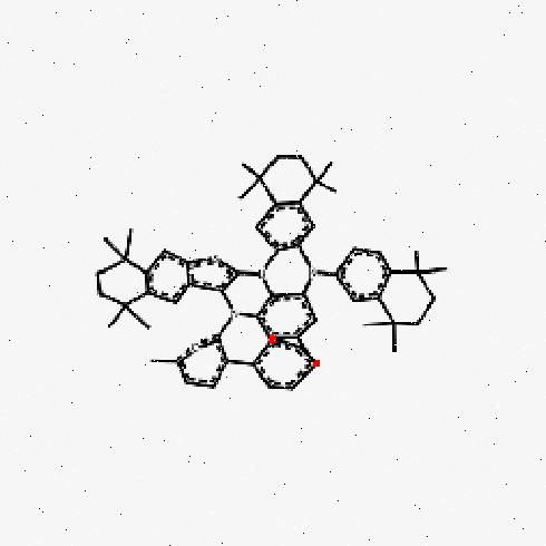 Cc1ccc(-c2ccccc2)c(N2c3cc(C)cc4c3B(c3cc5c(cc3N4c3ccc4c(c3)C(C)(C)CCC4(C)C)C(C)(C)CCC5(C)C)c3sc4cc5c(cc4c32)C(C)(C)CCC5(C)C)c1